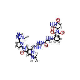 CCn1cnnc1-c1cccc(N2Cc3c(cc(N(C)C(C)C)nc3CNCCNC(=O)CCNc3cccc4c3C(=O)N(C3CCC(=O)NC3=O)C4=O)C2=O)n1